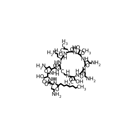 CCCCCCCC(=O)N[C@@H](CCN)C(=O)N[C@H](C(=O)NC(CCN)C(=O)N[C@H]1CCNC(=O)[C@H]([C@@H](C)O)NC(=O)[C@H](CCN)NC(=O)[C@H](CCN)NC(=O)[C@H]([C@@H](C)O)NC(=O)[C@@H](CC(C)C)NC(=O)[C@H](CCN)NC1=O)[C@@H](C)O